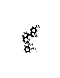 N#Cc1ccc2c(-c3cncc4cnc(N[C@@H]5CCCC[C@@H]5N)nc34)c[nH]c2c1